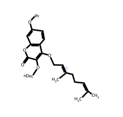 CCCCCCCCCCOc1c(OC/C=C(\C)CCC=C(C)C)c2ccc(OC(C)C)cc2oc1=O